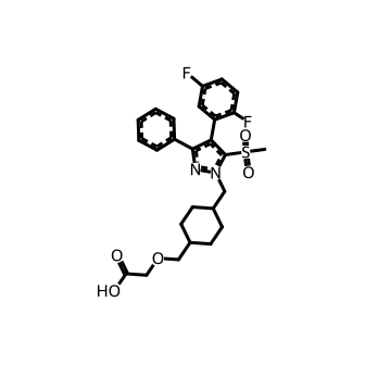 CS(=O)(=O)c1c(-c2cc(F)ccc2F)c(-c2ccccc2)nn1CC1CCC(COCC(=O)O)CC1